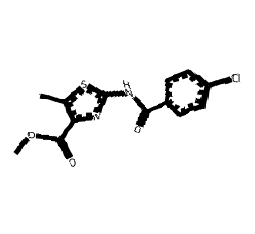 COC(=O)c1nc(NC(=O)c2ccc(Cl)cc2)sc1C